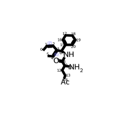 C/C=C\C(=C/C)C(NC(=O)C(N)CCC(C)=O)C1=CCCC=C1